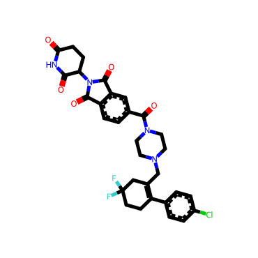 O=C1CCC(N2C(=O)c3ccc(C(=O)N4CCN(CC5=C(c6ccc(Cl)cc6)CCC(F)(F)C5)CC4)cc3C2=O)C(=O)N1